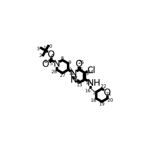 CC(C)(C)OC(=O)N1CCC(n2ncc(NC[C@H]3CCCOC3)c(Cl)c2=O)CC1